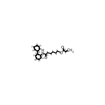 C=CC(=O)OCCCCCC(=O)Nc1ccccc1-c1ccccc1